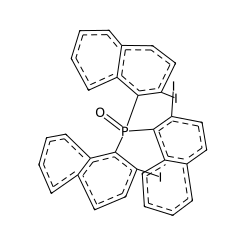 O=P(c1c(I)ccc2ccccc12)(c1c(I)ccc2ccccc12)c1c(I)ccc2ccccc12